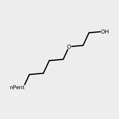 CCCCCCCCCOCCO